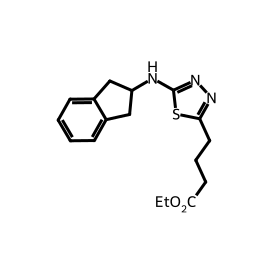 CCOC(=O)CCCc1nnc(NC2Cc3ccccc3C2)s1